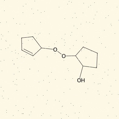 OC1CCCC1OOC1C=CCC1